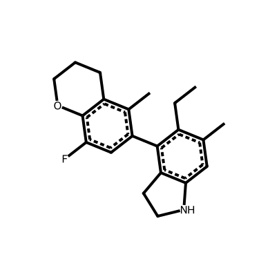 CCc1c(C)cc2c(c1-c1cc(F)c3c(c1C)CCCO3)CCN2